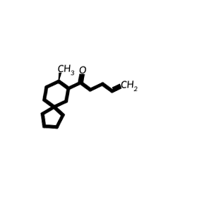 C=CCCC(=O)C1CC2(CCCC2)CC[C@H]1C